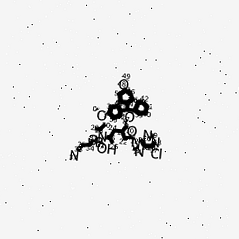 COc1ccc(C(OC[C@H]2O[C@@H](n3cnc4c(Cl)ncnc43)CC2CC(C)N(C(C)C)P(O)OCCC#N)(c2ccccc2)c2ccc(OC)cc2)cc1